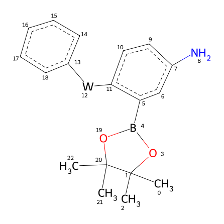 CC1(C)OB(c2cc(N)cc[c]2[W][c]2ccccc2)OC1(C)C